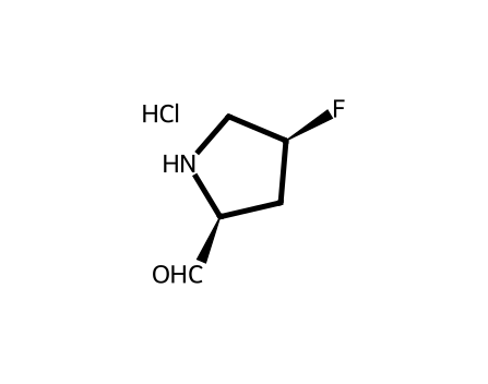 Cl.O=C[C@@H]1C[C@H](F)CN1